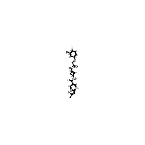 Cc1cc2ncc(C(=O)NC34CC(NC(=O)COc5ccc(Cl)c(F)c5)(C3)C4)cn2n1